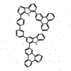 c1cc(-c2ccc(-c3cccc4c3sc3c(-c5ccc6c7ccccc7c7ccccc7c6c5)cccc34)cc2)cc(-c2cc(-c3ccc4c5ccccc5c5ccccc5c4c3)c3sc4ccccc4c3c2)c1